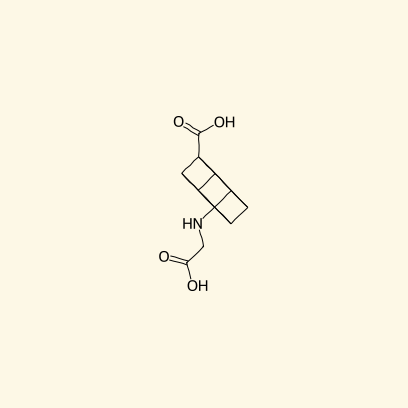 O=C(O)CNC12C3C4C1C1C2C3C41C(=O)O